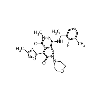 Cc1noc(-c2c(=O)n(N3CCOCC3)cc3c(N[C@H](C)c4cccc(C(F)(F)F)c4F)nn(C)c(=O)c23)n1